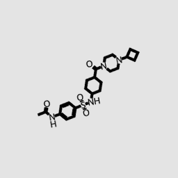 CC(=O)Nc1ccc(S(=O)(=O)NC2CCC(C(=O)N3CCN(C4CCC4)CC3)CC2)cc1